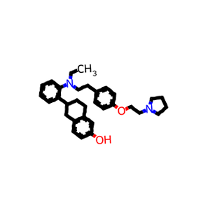 CCN(CCc1ccc(OCCN2CCCC2)cc1)c1ccccc1C1CCc2cc(O)ccc2C1